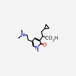 CN(C)CCc1cc(C(CC2CC2)C(=O)O)c(=O)n(C)c1